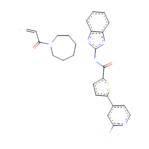 C=CC(=O)N1CCC[C@@H](n2c(NC(=O)c3ccc(-c4ccnc(F)c4)s3)nc3ccccc32)CC1